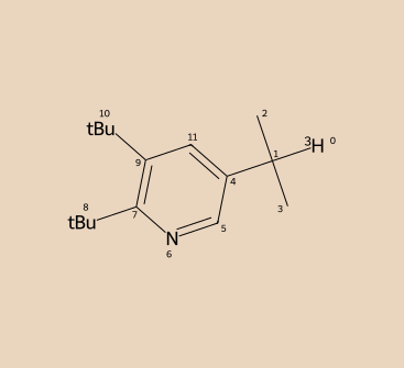 [3H]C(C)(C)c1cnc(C(C)(C)C)c(C(C)(C)C)c1